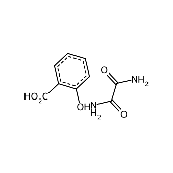 NC(=O)C(N)=O.O=C(O)c1ccccc1O